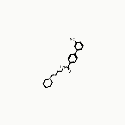 N#Cc1cccc(-c2ccc(C(=O)NCCCCN3CCCCC3)cc2)c1